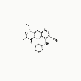 CCOc1cc2ncc(C#N)c(Nc3cccc(C)c3)c2cc1NC(C)=O